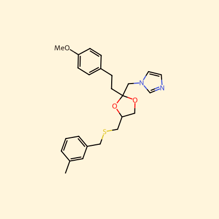 COc1ccc(CCC2(Cn3ccnc3)OCC(CSCc3cccc(C)c3)O2)cc1